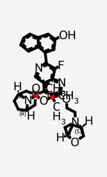 CC(C)(C)OC(=O)N1[C@@H]2CC[C@H]1CN(c1nc(OCCN3C[C@@H]4C[C@H]3CO4)nc3c(F)c(-c4cc(O)cc5ccccc45)ncc13)C2